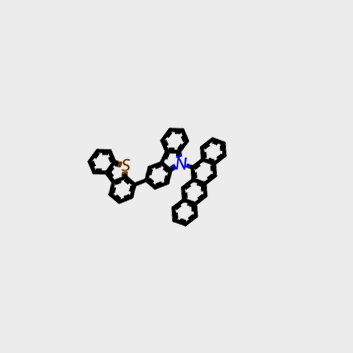 c1ccc2cc3c(-n4c5ccccc5c5cc(-c6cccc7c6sc6ccccc67)ccc54)c4ccccc4cc3cc2c1